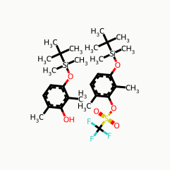 Cc1ccc(O[Si](C)(C)C(C)(C)C)c(C)c1O.Cc1ccc(O[Si](C)(C)C(C)(C)C)c(C)c1OS(=O)(=O)C(F)(F)F